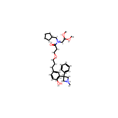 COC(CN(CC1CCCC1)C(=O)CCOCCCc1ccc(O)c(C2(c3ccccc3)CN(C)C2)c1)OC